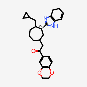 O=C(CC1CCCC(CC2CC2)[C@@H](c2nc3c([nH]2)C=CCC3)C1)c1ccc2c(c1)OCCO2